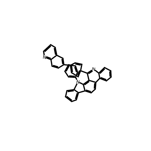 c1ccc(-n2c3ccccc3c3ccc4c5ccccc5nc(-c5ccc(-c6ccc7ncccc7c6)cc5)c4c32)cc1